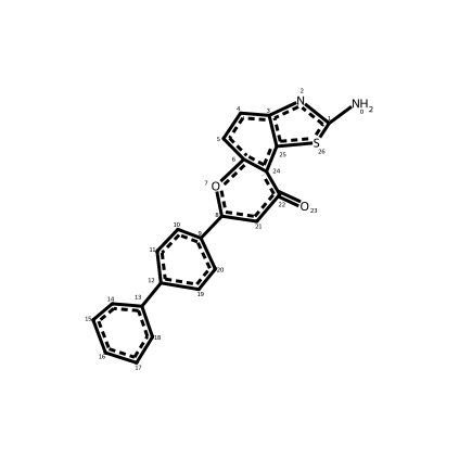 Nc1nc2ccc3oc(-c4ccc(-c5ccccc5)cc4)cc(=O)c3c2s1